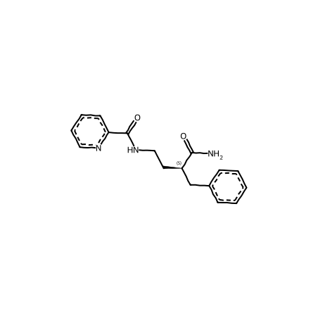 NC(=O)[C@H](CCNC(=O)c1ccccn1)Cc1ccccc1